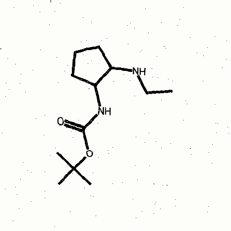 CCNC1CCCC1NC(=O)OC(C)(C)C